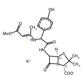 COC(=O)/C=C(\C)NC(C(=O)NC1C(=O)N2[C@@H]1SC(C)(C)[C@@H]2C(=O)[O-])c1ccc(O)cc1.[K+]